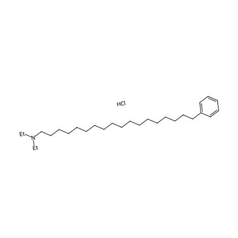 CCN(CC)CCCCCCCCCCCCCCCCCCc1ccccc1.Cl